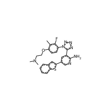 Cc1c(OCCN(C)C)ccc(-n2nnnc2-c2cc(-c3cc4ccccc4s3)cnc2N)c1F